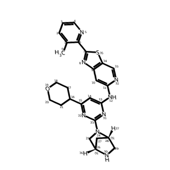 Cc1cccnc1-c1nc2cc(Nc3cc(C4CCOCC4)nc(N4C[C@@H]5C[C@H]4CN5)n3)ncc2s1